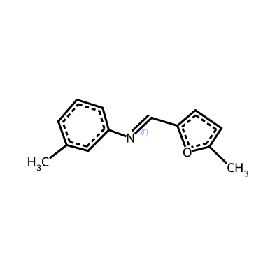 Cc1cccc(/N=C/c2ccc(C)o2)c1